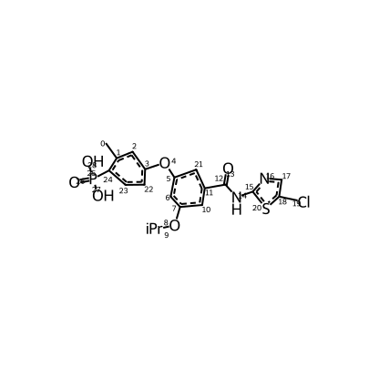 Cc1cc(Oc2cc(OC(C)C)cc(C(=O)Nc3ncc(Cl)s3)c2)ccc1P(=O)(O)O